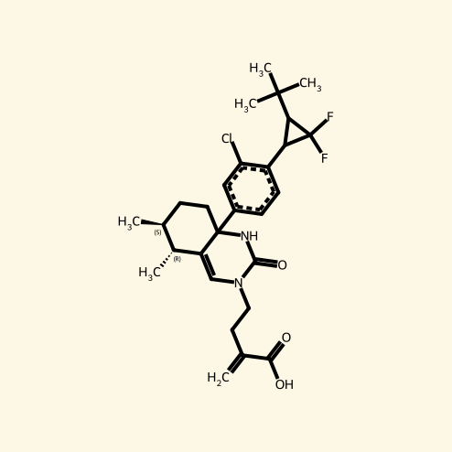 C=C(CCN1C=C2[C@H](C)[C@@H](C)CCC2(c2ccc(C3C(C(C)(C)C)C3(F)F)c(Cl)c2)NC1=O)C(=O)O